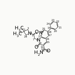 CC1(C)CN(C(=O)Cn2c(=O)c(C(N)=O)cc3cc(-c4ccccc4)cnc32)C1